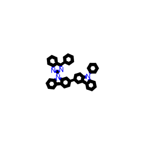 c1ccc(-c2nc(-n3c4ccccc4c4ccc(-c5ccc6c(c5)c5ccccc5n6-c5ccccc5)cc43)nc3ccccc23)cc1